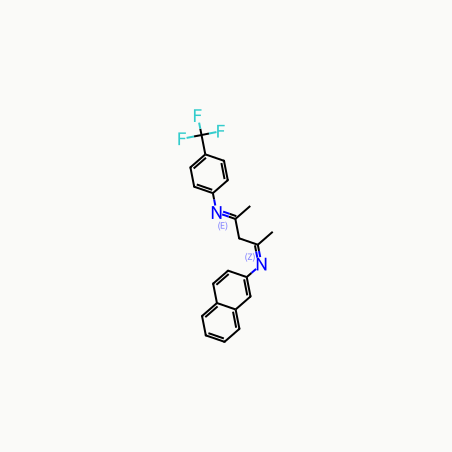 C/C(C/C(C)=N/c1ccc(C(F)(F)F)cc1)=N/c1ccc2ccccc2c1